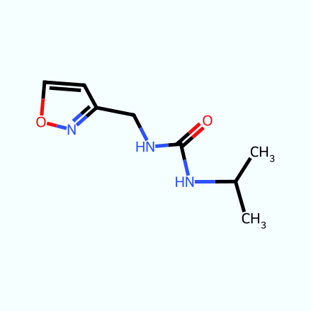 CC(C)NC(=O)NCc1ccon1